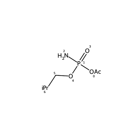 CC(=O)OP(N)(=O)OCC(C)C